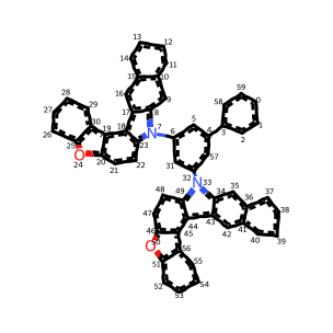 c1ccc(-c2cc(-n3c4cc5ccccc5cc4c4c5c(ccc43)oc3ccccc35)cc(-n3c4cc5ccccc5cc4c4c5c(ccc43)oc3ccccc35)c2)cc1